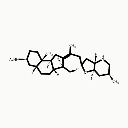 CC(=O)N[C@H]1CC[C@@]2(C)[C@H](CC[C@H]3[C@@H]4CC[C@]5(CC(C)=C4C[C@@H]32)C[C@@H]2NC[C@@H](C)C[C@H]2O5)C1